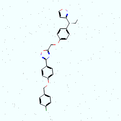 CC(=O)C[C@@H](c1ccc(OCc2nc(-c3ccc(OCc4ccc(Cl)cc4)cc3)no2)cc1)c1ccon1